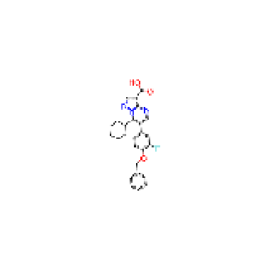 O=C(O)c1cnn2c(C3CCCCC3)c(-c3ccc(OCc4ccccc4)c(F)c3)cnc12